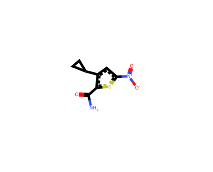 NC(=O)c1sc([N+](=O)[O-])cc1C1CC1